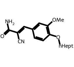 CCCCCCCOc1ccc(/C=C(\C#N)C(N)=O)cc1OC